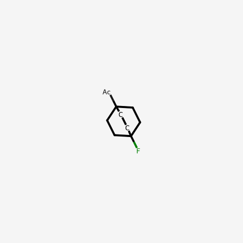 CC(=O)C12CCC(F)(CC1)CC2